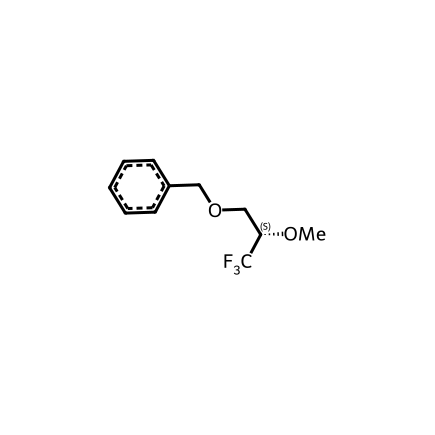 CO[C@@H](COCc1ccccc1)C(F)(F)F